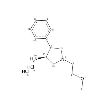 COCCN1CC(c2ccccc2)[C@H](N)C1.Cl.Cl